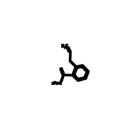 C=CCc1ccccc1C(=O)CCCCC